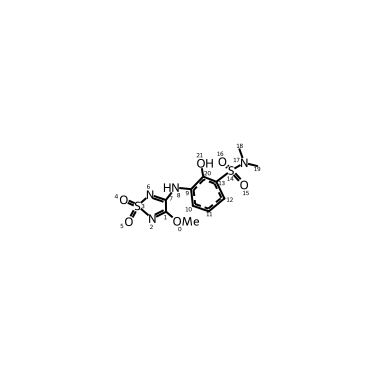 COC1=NS(=O)(=O)N=C1Nc1cccc(S(=O)(=O)N(C)C)c1O